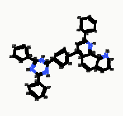 c1ccc(-c2cc(-c3ccc(-c4nc(-c5ccccc5)nc(-c5ccccc5)n4)cc3)c3ccc4cccnc4c3n2)cc1